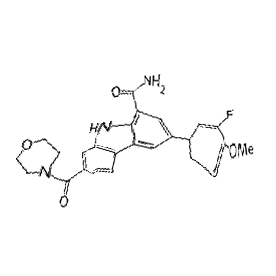 COC1=CCC(c2cc(C(N)=O)c3[nH]c4cc(C(=O)N5CCOCC5)ccc4c3c2)C=C1F